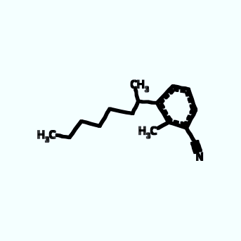 CCCCCCC(C)c1cccc(C#N)c1C